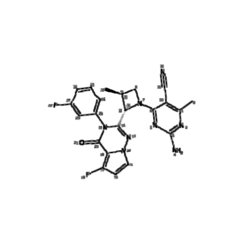 Cc1nc(N)nc(N2C[C@H](C)[C@H]2c2nn3ccc(F)c3c(=O)n2-c2cccc(F)c2)c1C#N